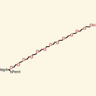 CCCCCCCC(CCCCC)OCCOCCOCCOCCOCCOCCOCCOCCOCCOCCOCCOCCO